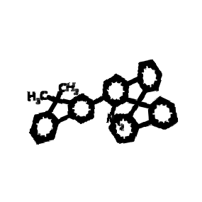 CC1(C)c2ccccc2-c2ccc(-c3ccc4c(c3N)C3(c5ccccc5-c5ccccc53)c3ccccc3-4)cc21